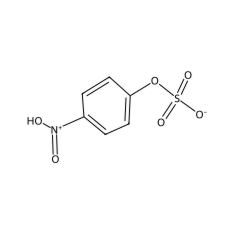 O=[N+](O)c1ccc(OS(=O)(=O)[O-])cc1